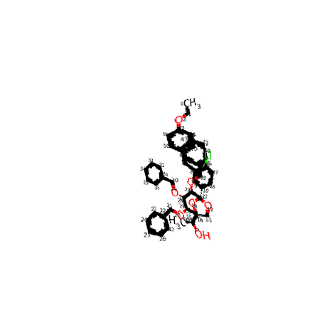 CCOc1ccc(Cc2cc([C@]34OC[C@]([C@H](C)O)(O3)[C@@H](OCc3ccccc3)[C@H](OCc3ccccc3)[C@H]4OCc3ccccc3)ccc2Cl)cc1